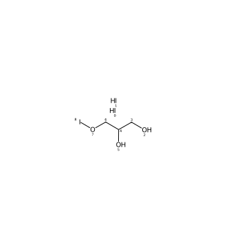 I.I.OCC(O)COI